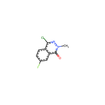 Cn1nc(Cl)c2ccc(F)cc2c1=O